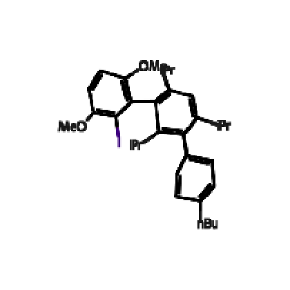 CCCCc1ccc(-c2c(C(C)C)cc(C(C)C)c(-c3c(OC)ccc(OC)c3I)c2C(C)C)cc1